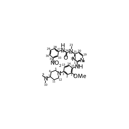 COc1cc(N2CCC(N(C)C)CC2)ccc1Nc1nccc(N(C)C(=O)Nc2cccc([N+](=O)[O-])c2)n1